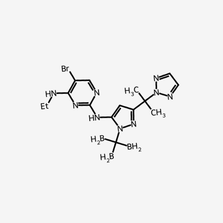 BC(B)(B)n1nc(C(C)(C)n2nccn2)cc1Nc1ncc(Br)c(NCC)n1